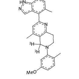 [2H]C1([2H])c2c(C)cc(-c3c(C)ccc4[nH]ncc34)nc2CCN1c1cc(OC)ccc1C